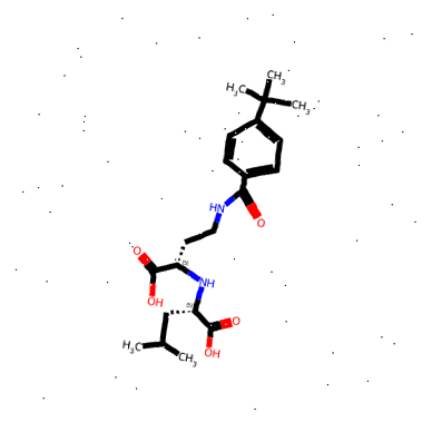 CC(C)C[C@H](N[C@@H](CCNC(=O)c1ccc(C(C)(C)C)cc1)C(=O)O)C(=O)O